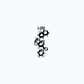 C/C=C\c1cc(N2CCOc3cc(C(=O)N4CCCCC4)cnc32)ccc1C=N